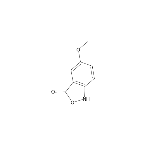 COc1ccc2[nH]oc(=O)c2c1